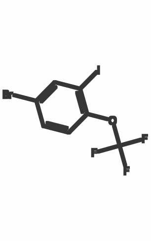 FC(F)(F)Oc1ccc(Br)cc1I